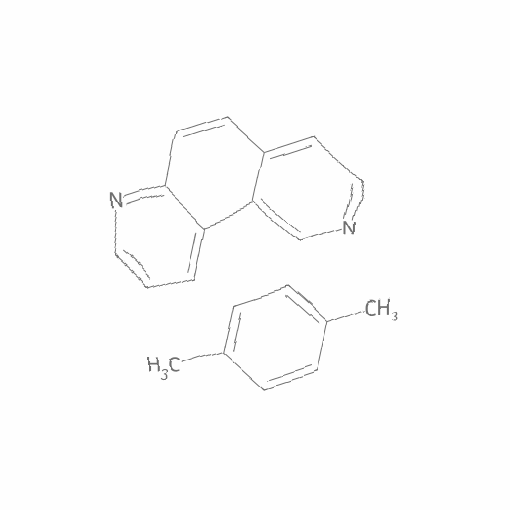 Cc1ccc(C)cc1.c1cnc2ccc3ccncc3c2c1